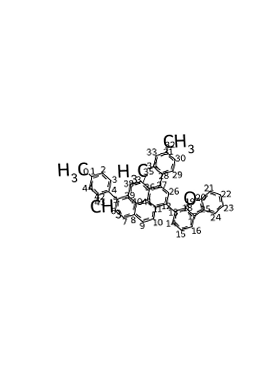 Cc1ccc(-c2ccc3ccc4c(-c5cccc6c5oc5ccccc56)cc(-c5ccc(C)cc5C)c5ccc2c3c54)c(C)c1